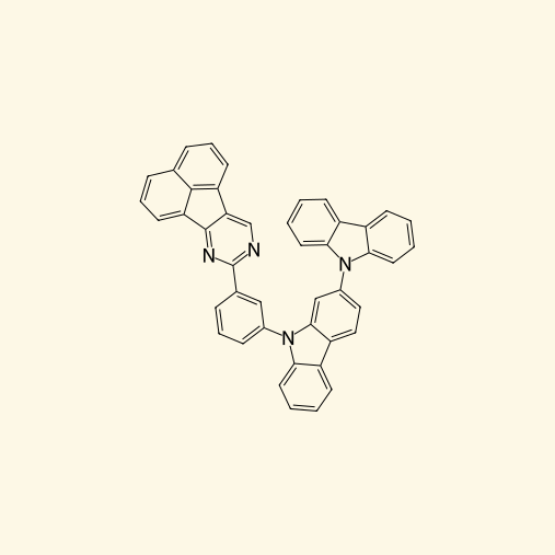 c1cc(-c2ncc3c(n2)-c2cccc4cccc-3c24)cc(-n2c3ccccc3c3ccc(-n4c5ccccc5c5ccccc54)cc32)c1